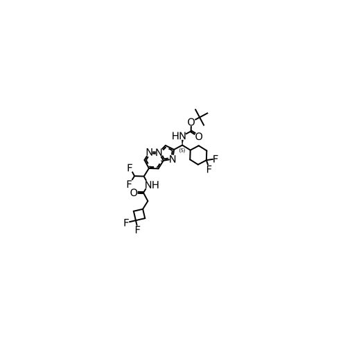 CC(C)(C)OC(=O)N[C@H](c1cn2ncc(C(NC(=O)CC3CC(F)(F)C3)C(F)F)cc2n1)C1CCC(F)(F)CC1